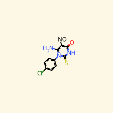 Nc1c(N=O)c(=O)[nH]c(=S)n1-c1ccc(Cl)cc1